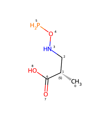 C[C@@H](CNOP)C(=O)O